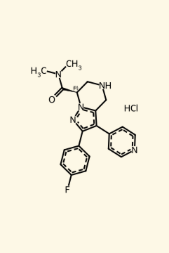 CN(C)C(=O)[C@H]1CNCc2c(-c3ccncc3)c(-c3ccc(F)cc3)nn21.Cl